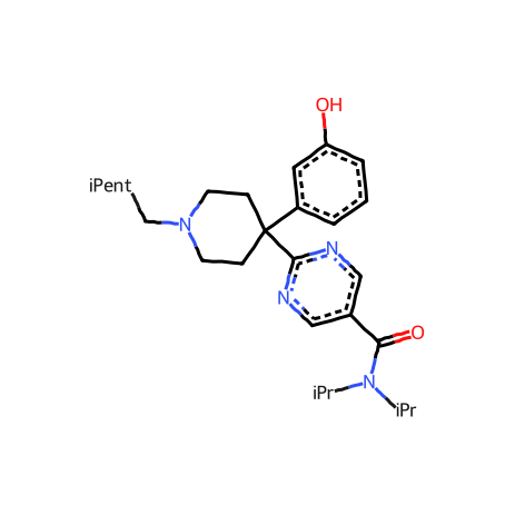 CCCC(C)CN1CCC(c2cccc(O)c2)(c2ncc(C(=O)N(C(C)C)C(C)C)cn2)CC1